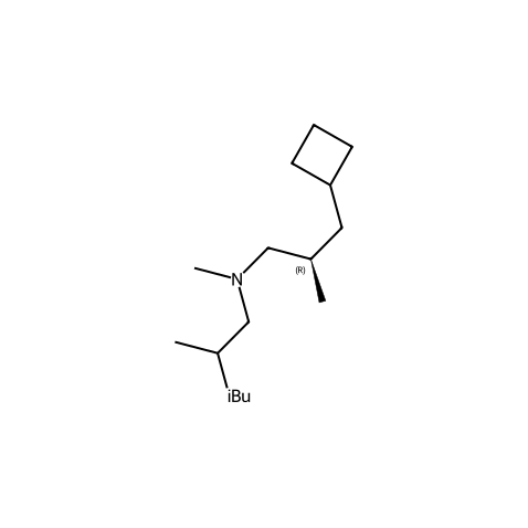 CCC(C)C(C)CN(C)C[C@H](C)CC1CCC1